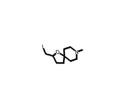 CN1CCC2(CCC(CI)O2)CC1